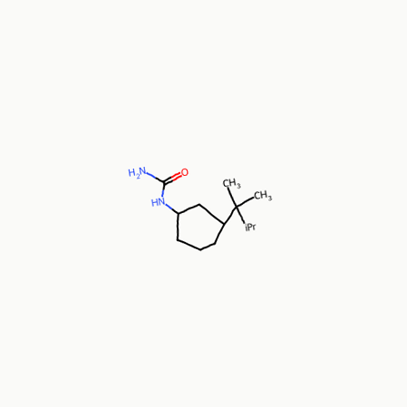 CC(C)C(C)(C)C1CCCC(NC(N)=O)C1